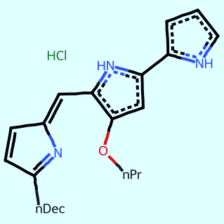 CCCCCCCCCCC1=NC(=Cc2[nH]c(-c3ccc[nH]3)cc2OCCC)C=C1.Cl